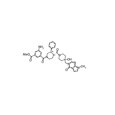 COC(=O)c1cc(N)cc(C(=O)N2CC[C@@H](C(=O)N3CCC(O)(Cn4cnc5c(ccn5C)c4=O)CC3)[C@H](c3ccccc3)C2)c1